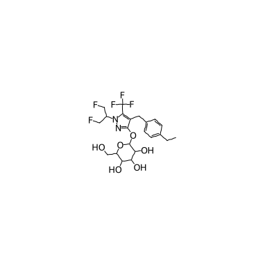 CCc1ccc(Cc2c(OC3OC(CO)C(O)C(O)C3O)nn(C(CF)CF)c2C(F)(F)F)cc1